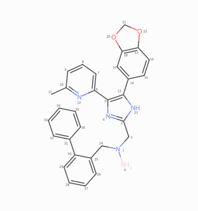 BN(Cc1nc(-c2cccc(C)n2)c(-c2ccc3c(c2)OCO3)[nH]1)Cc1ccccc1-c1ccccc1